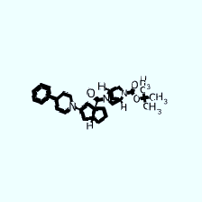 CC(C)(C)OC(=O)N1C[C@@H]2C[C@H]1CN2C(=O)[C@@]12CCC[C@@H]1C[C@@H](N1CCC(c3ccccc3)CC1)C2